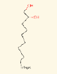 CCCCCCCCCCCCCC[C@@H](O)CO